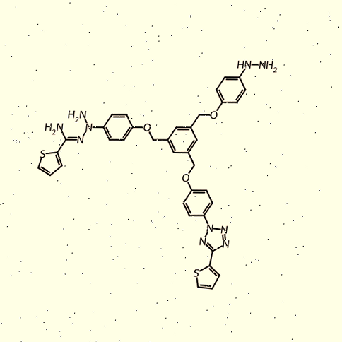 NNc1ccc(OCc2cc(COc3ccc(N(N)/N=C(\N)c4cccs4)cc3)cc(COc3ccc(-n4nnc(-c5cccs5)n4)cc3)c2)cc1